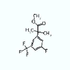 COC(=O)C(C)(C)c1cc(F)cc(C(F)(F)F)c1